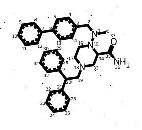 CN(Cc1ccc(-c2ccccc2)cc1)N1CCN(CC(c2ccccc2)c2ccccc2)CC1C(N)=O